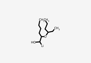 [Li][CH](O)C(CCCC)OC(CC)CCC